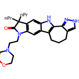 CCCC1(CCC)C(=O)N(CCN2CCOCC2)c2cc3c4c([nH]c3cc21)-c1n[nH]cc1CCC4